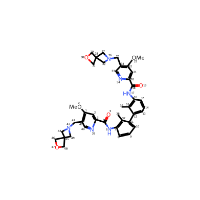 COc1cc(C(=O)Nc2cccc(-c3cccc(NC(=O)c4cc(OC)c(CN5CC6(COC6)C5)cn4)c3C)c2C)ncc1CN1CC2(COC2)C1